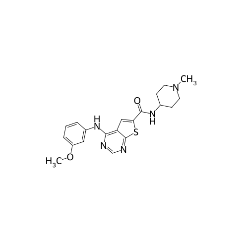 COc1cccc(Nc2ncnc3sc(C(=O)NC4CCN(C)CC4)cc23)c1